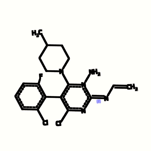 C=C/N=c1/nc(Cl)c(-c2c(F)cccc2Cl)c(N2CCC(C)CC2)n1N